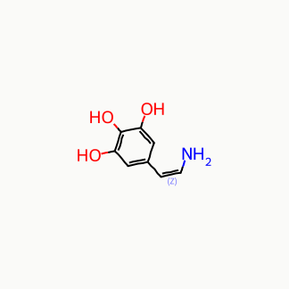 N/C=C\c1cc(O)c(O)c(O)c1